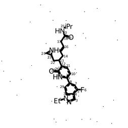 CCn1ncc2c(F)cc(-c3ccc(C(CC=CCC(=O)NC(C)C)CC4CN4)c(=O)[nH]3)cc21